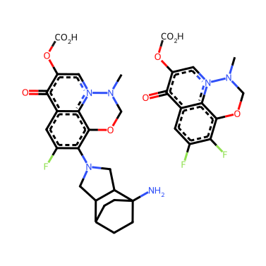 CN1COc2c(F)c(F)cc3c(=O)c(OC(=O)O)cn1c23.CN1COc2c(N3CC4C5CCC(N)(CC5)C4C3)c(F)cc3c(=O)c(OC(=O)O)cn1c23